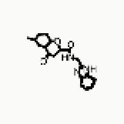 CC1CCC2OC(C(=O)NCc3nc4ccccc4[nH]3)CC(=O)C2C1